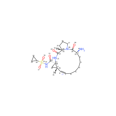 N[C@H]1CCCCC/C=C\[C@@H]2C[C@@]2(C(=O)NS(=O)(=O)C2CC2)NC(=O)[C@@H]2CCCN2C1=O